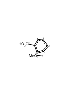 COC.O=C(O)c1ccccc1